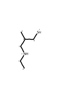 CCNCC(C)[CH2][Sn]